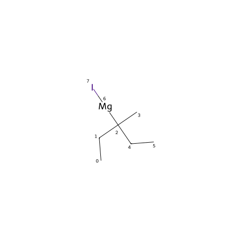 CC[C](C)(CC)[Mg][I]